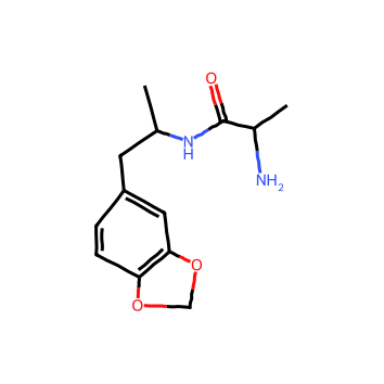 CC(Cc1ccc2c(c1)OCO2)NC(=O)C(C)N